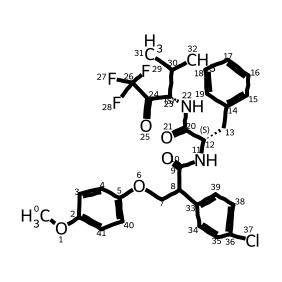 COc1ccc(OCC(C(=O)N[C@@H](Cc2ccccc2)C(=O)N[C@H](C(=O)C(F)(F)F)C(C)C)c2ccc(Cl)cc2)cc1